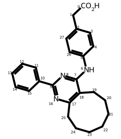 O=C(O)Cc1ccc(Nc2nc(-c3ccccc3)nc3c2CCCCCCC3)cc1